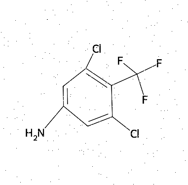 Nc1cc(Cl)c(C(F)(F)F)c(Cl)c1